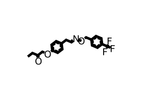 CCC(=O)COc1ccc(CC=NOCc2ccc(C(F)(F)F)cc2)cc1